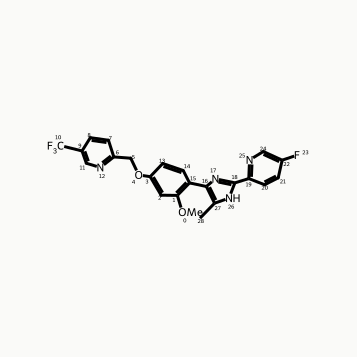 COc1cc(OCc2ccc(C(F)(F)F)cn2)ccc1-c1nc(-c2ccc(F)cn2)[nH]c1C